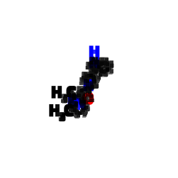 Cc1nc2c(C)cccn2c(=O)c1CCN1CC=C(c2c[nH]c3ccccc23)CC1